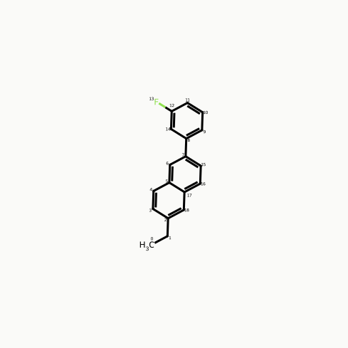 CCc1ccc2cc(-c3cccc(F)c3)ccc2c1